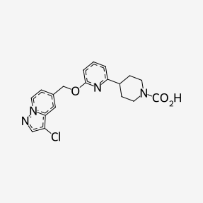 O=C(O)N1CCC(c2cccc(OCc3ccn4ncc(Cl)c4c3)n2)CC1